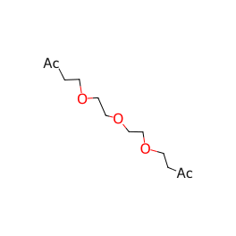 CC(=O)CCOCCOCCOCCC(C)=O